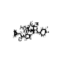 CN1C(=N)N[C@@](CCC2CCCCC2)(C[C@H]2CCN(C(=O)CC3CC3)C2)C1=O